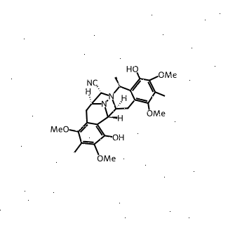 COc1c(C)c(OC)c2c(c1O)[C@H]1[C@@H]3Cc4c(OC)c(C)c(OC)c(O)c4[C@H](C)N3[C@@H](C#N)[C@H](C2)N1C